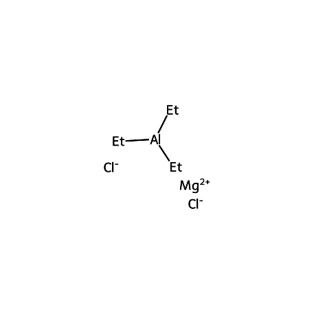 C[CH2][Al]([CH2]C)[CH2]C.[Cl-].[Cl-].[Mg+2]